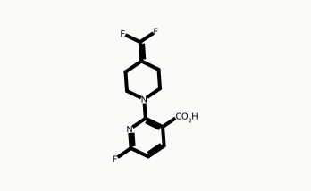 O=C(O)c1ccc(F)nc1N1CCC(=C(F)F)CC1